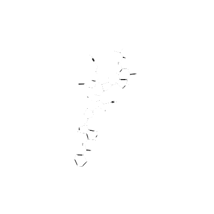 C=CCOP(=O)(OCCC#N)[C@@H]1C(COP(=O)(OCCC#N)O[C@@H]2C(CO)OC(n3cnc4c(NC(=O)c5ccccc5)ncnc43)[C@@H]2F)OC(n2cnc3c(=O)[nH]c(NC(=O)C(C)C)nc32)[C@@H]1F